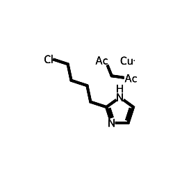 CC(=O)CC(C)=O.ClCCCCc1ncc[nH]1.[Cu]